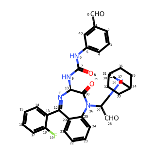 O=Cc1cccc(NC(=O)N[C@@H]2N=C(c3ccccc3F)c3ccccc3N(C(C=O)N3CC4CCC(CC4)C3)C2=O)c1